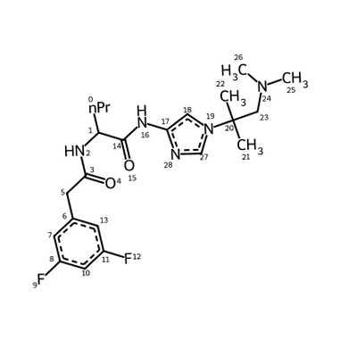 CCCC(NC(=O)Cc1cc(F)cc(F)c1)C(=O)Nc1cn(C(C)(C)CN(C)C)cn1